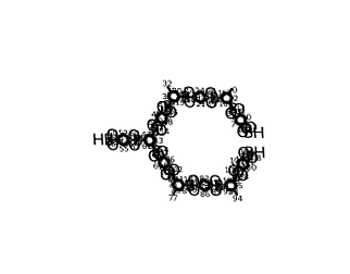 Cc1cc(B2Oc3cc4c(cc3O2)OBO4)cc(B2Oc3cc4c(cc3O2)OB(c2cc(C)cc(B3Oc5cc6c(cc5O3)OB(c3cc(B5Oc7cc8c(cc7O5)OBO8)cc(B5Oc7cc8c(cc7O5)OB(c5cc(C)cc(B7Oc9cc%10c(cc9O7)OB(c7cc(C)cc(B9Oc%11cc%12c(cc%11O9)OBO%12)c7)O%10)c5)O8)c3)O6)c2)O4)c1